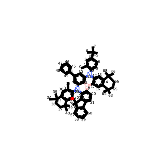 Cc1cc(C(C)(C)C)ccc1N1c2cc3c(cc2B2c4ccc5c(c4N(c4cc6c(cc4C)C(C)(C)CCC6(C)C)c4cc(-c6ccccc6)cc1c42)C(C)(C)c1ccccc1-5)C(C)(C)CCC3(C)C